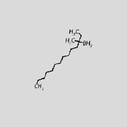 BC(C)(CC)CCCCCCCCCCC